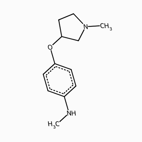 CNc1ccc(OC2CCN(C)C2)cc1